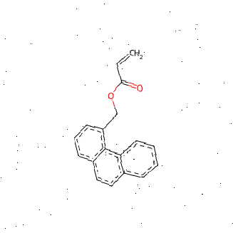 C=CC(=O)OCc1cccc2ccc3ccccc3c12